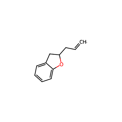 [CH]=CCC1Cc2ccccc2O1